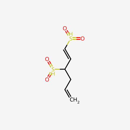 C=CCC(C=C[SH](=O)=O)[SH](=O)=O